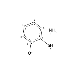 N.[O-][n+]1ccccc1S